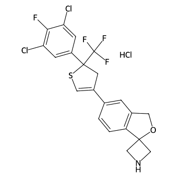 Cl.Fc1c(Cl)cc(C2(C(F)(F)F)CC(c3ccc4c(c3)COC43CNC3)=CS2)cc1Cl